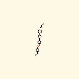 CCCCCC1CCC(C2C=CC(c3ccc(COc4ccc(CCC)cc4)cc3)CC2)CC1